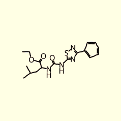 CCOC(=O)C(CC(C)C)NC(=O)Nc1nc(-c2ccccc2)ns1